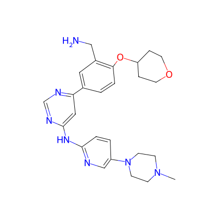 CN1CCN(c2ccc(Nc3cc(-c4ccc(OC5CCOCC5)c(CN)c4)ncn3)nc2)CC1